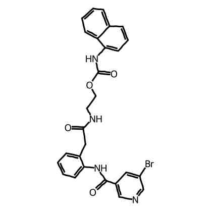 O=C(Cc1ccccc1NC(=O)c1cncc(Br)c1)NCCOC(=O)Nc1cccc2ccccc12